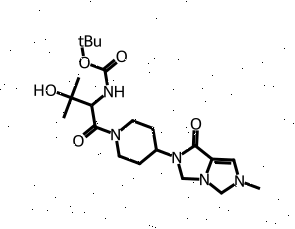 CN1C=C2C(=O)N(C3CCN(C(=O)C(NC(=O)OC(C)(C)C)C(C)(C)O)CC3)CN2C1